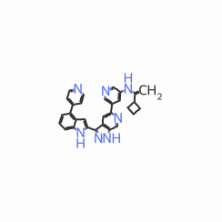 C=C(Nc1cncc(-c2cc3c(-c4cc5c(-c6ccncc6)cccc5[nH]4)n[nH]c3cn2)c1)C1CCC1